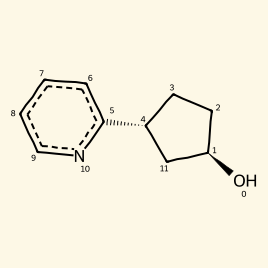 O[C@@H]1CC[C@@H](c2ccccn2)C1